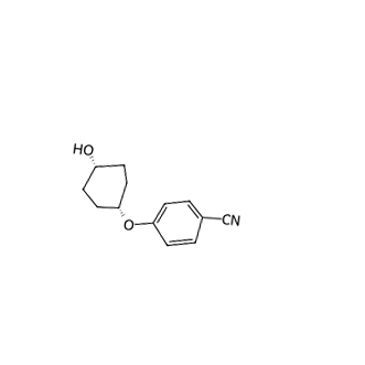 N#Cc1ccc(O[C@H]2CC[C@@H](O)CC2)cc1